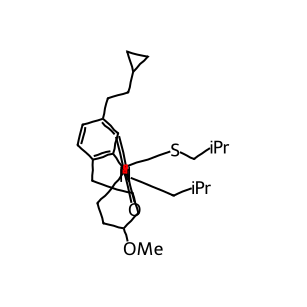 COC1CCC2(CC1)Cc1ccc(CCC3CC3)cc1C21N=C(SCC(C)C)N(CC(C)C)C1=O